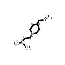 COCC1CCN(CCN(C)C)CC1